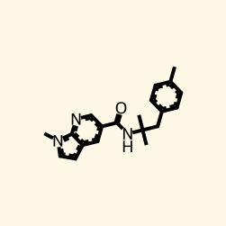 Cc1ccc(CC(C)(C)NC(=O)c2cnc3c(ccn3C)c2)cc1